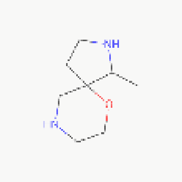 C[C]1NCCC12CNCCO2